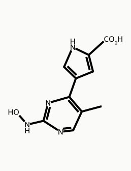 Cc1cnc(NO)nc1-c1c[nH]c(C(=O)O)c1